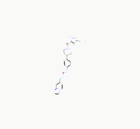 Cc1nn(C)c(C(=O)N2CCC(c3ccc(NC(=O)NCc4ccn5ccnc5c4)cc3)CC2)c1Cl